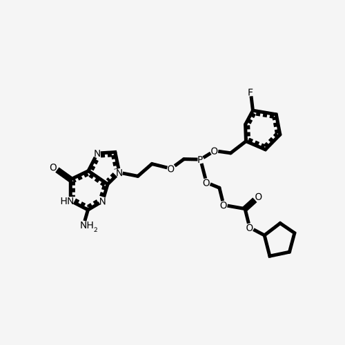 Nc1nc2c(ncn2CCOCP(OCOC(=O)OC2CCCC2)OCc2cccc(F)c2)c(=O)[nH]1